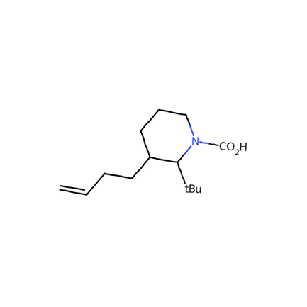 C=CCCC1CCCN(C(=O)O)C1C(C)(C)C